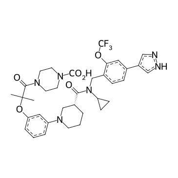 CC(C)(Oc1cccc(N2CCC[C@@H](C(=O)N(Cc3ccc(-c4cn[nH]c4)cc3OC(F)(F)F)C3CC3)C2)c1)C(=O)N1CCN(C(=O)O)CC1